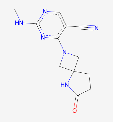 CNc1ncc(C#N)c(N2CC3(CCC(=O)N3)C2)n1